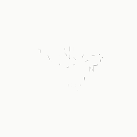 CC=C=C/C(=C\N=C(/C)C1CCC=C(CC(C)C)CC1)C1=CCC2=CN=CC=C(N3CC/C=C(\C(=O)OCC)CCC3)C2=C1